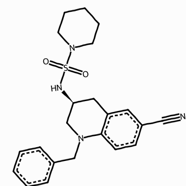 N#Cc1ccc2c(c1)C[C@H](NS(=O)(=O)N1CCCCC1)CN2Cc1ccccc1